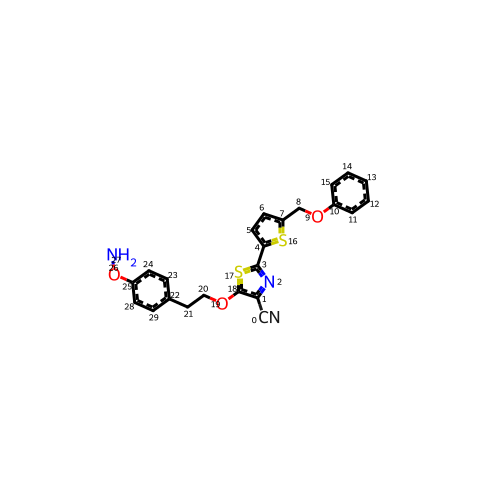 N#Cc1nc(-c2ccc(COc3ccccc3)s2)sc1OCCc1ccc(ON)cc1